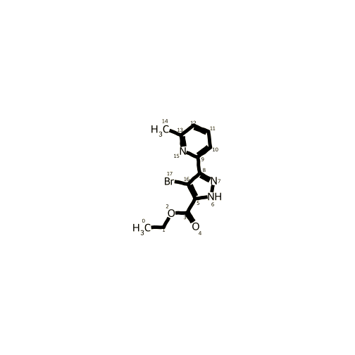 CCOC(=O)c1[nH]nc(-c2cccc(C)n2)c1Br